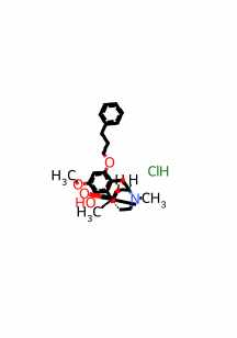 COc1cc(OCCCc2ccccc2)c2c(c1O)[C@]13CCN(C)[C@H](C2)[C@@H]1CCC(=O)[C@H]3C.Cl